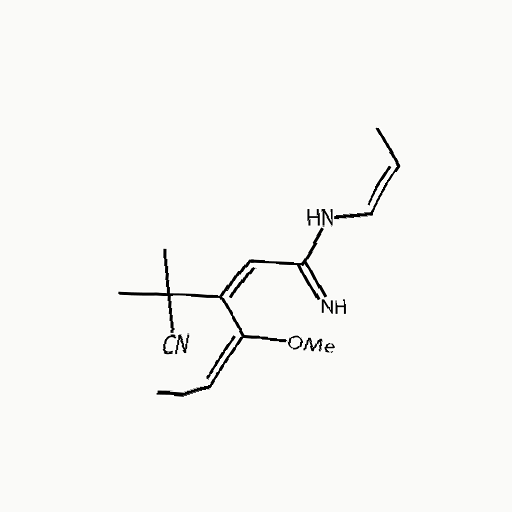 C/C=C\NC(=N)/C=C(\C(=C/C)OC)C(C)(C)C#N